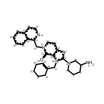 NC1CCCN(c2nc3ccn(Cc4nccc5ccccc45)c(=O)c3n2CC2=CCCCC2)C1